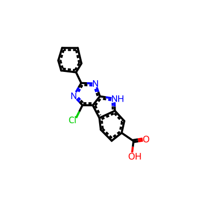 O=C(O)c1ccc2c(c1)[nH]c1nc(-c3ccccc3)nc(Cl)c12